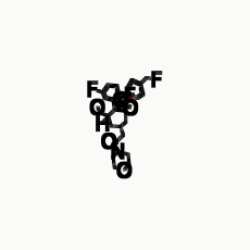 O=C(C[C@@H]1CC[C@@]2(S(=O)(=O)c3ccc(CF)cc3)c3c(F)ccc(F)c3OC[C@H]2C1)N1CCOCC1